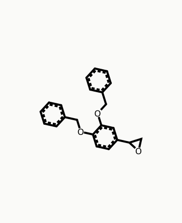 c1ccc(COc2ccc(C3CO3)cc2OCc2ccccc2)cc1